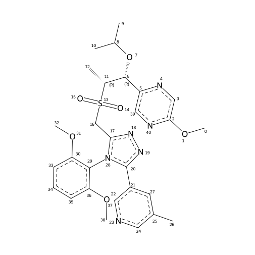 COc1cnc([C@@H](OC(C)C)[C@@H](C)S(=O)(=O)Cc2nnc(-c3cncc(C)c3)n2-c2c(OC)cccc2OC)cn1